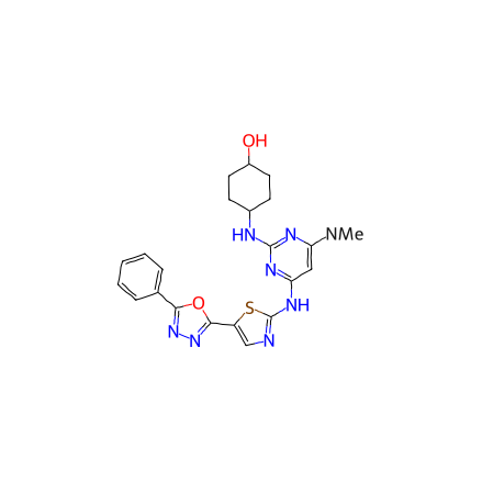 CNc1cc(Nc2ncc(-c3nnc(-c4ccccc4)o3)s2)nc(NC2CCC(O)CC2)n1